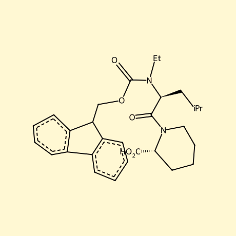 CCN(C(=O)OCC1c2ccccc2-c2ccccc21)[C@@H](CC(C)C)C(=O)N1CCCC[C@@H]1C(=O)O